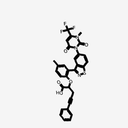 Cc1ccc(OC(CC#Cc2ccccc2)C(=O)O)c(-c2nsc3ccc(-n4c(=O)cc(C(F)(F)F)n(C)c4=O)cc23)c1